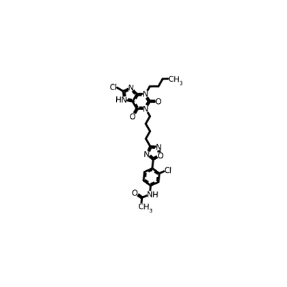 CCCCn1c(=O)n(CCCCc2noc(-c3ccc(NC(C)=O)cc3Cl)n2)c(=O)c2[nH]c(Cl)nc21